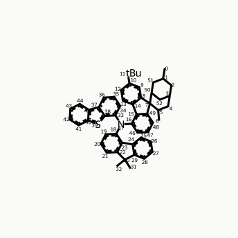 CC1CC2CC(C)C3(c4cc(C(C)(C)C)ccc4-c4c(N(c5cccc6c5-c5ccccc5C6(C)C)c5cccc6c5sc5ccccc56)cccc43)C(C1)C2